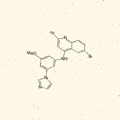 [2H]c1cc(Nc2cc(OC)cc(-n3ccnc3)c2)c2cc(Br)ccc2n1